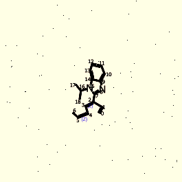 C=C/C(=C\C=C/C)c1nc2ccccc2n1C(C)C